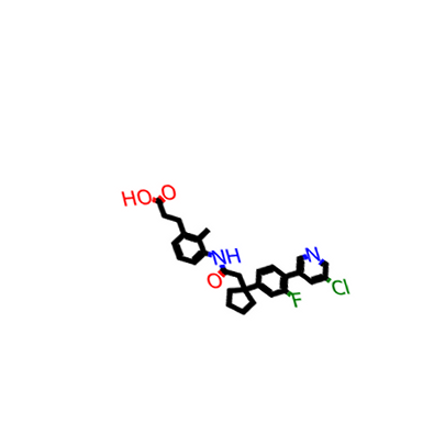 Cc1c(CCC(=O)O)cccc1NC(=O)CC1(c2ccc(-c3cncc(Cl)c3)c(F)c2)CCCC1